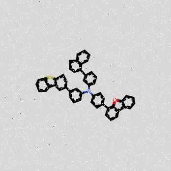 c1cc(-c2ccc3sc4ccccc4c3c2)cc(N(c2ccc(-c3cccc4c3oc3ccccc34)cc2)c2cccc(-c3cccc4ccccc34)c2)c1